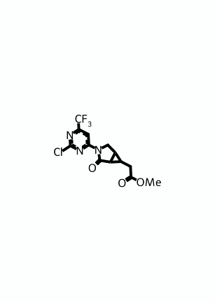 COC(=O)CC1C2CN(c3cc(C(F)(F)F)nc(Cl)n3)C(=O)C12